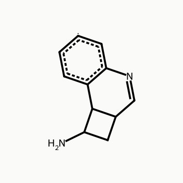 NC1CC2C=Nc3c[c]ccc3C12